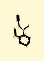 C#CCN(C)c1ccccc1C=C